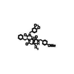 COc1ccc(CNC(=O)N2[C@H]3CN(Cc4ccc5c(c4)OCO5)C(=O)[C@H](Cc4ccccc4)N3C(=O)CN2C)cc1